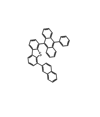 c1ccc(-c2c3ccccc3c(-c3cccc4c3sc3c(-c5ccc6ccccc6c5)cccc34)c3ccccc23)cc1